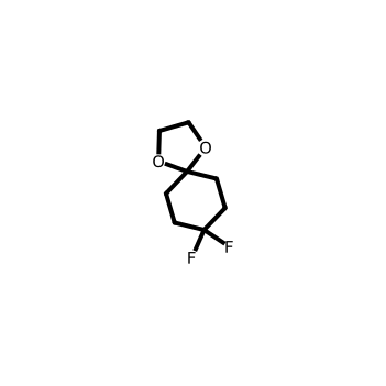 FC1(F)CCC2(CC1)OCCO2